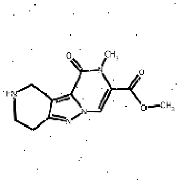 COC(=O)c1cn2nc3c(c2c(=O)n1C)CNCC3